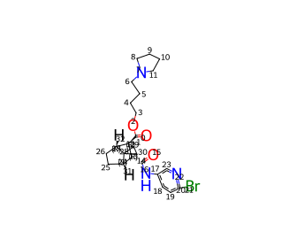 O=C(OCCCCN1CCCC1)[C@H]1[C@H](C(=O)Nc2ccc(Br)nc2)[C@@H]2CC[C@H]1C21CC1